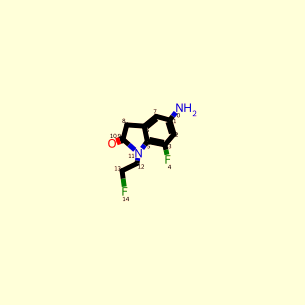 Nc1cc(F)c2c(c1)CC(=O)N2CCF